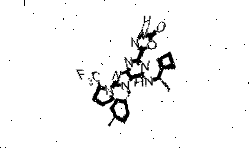 C[C@@H](Nc1nc(-c2n[nH]c(=O)o2)nc2nc(N3CCC[C@H]3C(F)(F)F)n(C[C@H]3CC[C@H](C)CC3)c12)C1CCC1